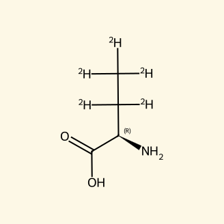 [2H]C([2H])([2H])C([2H])([2H])[C@@H](N)C(=O)O